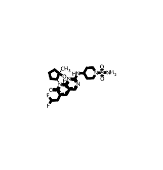 C[C@@]1(O)CCC[C@H]1n1c(=O)c(CC(F)F)cc2cnc(NC3CCN(S(N)(=O)=O)CC3)nc21